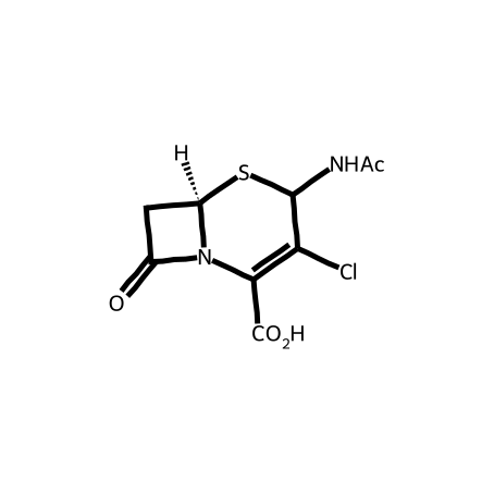 CC(=O)NC1S[C@@H]2CC(=O)N2C(C(=O)O)=C1Cl